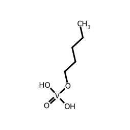 CCCCC[O][V](=[O])([OH])[OH]